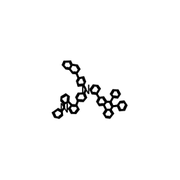 c1ccc(-c2c(-c3ccccc3)c3cc(-c4cccc(N(c5ccc(-c6ccc7ccccc7c6)cc5)c5ccc(-c6cccc7c6c6ccccc6n7-c6ccccc6)cc5)c4)ccc3c3ccccc23)cc1